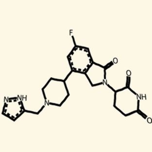 O=C1CCC(N2Cc3c(cc(F)cc3C3CCN(Cc4ccn[nH]4)CC3)C2=O)C(=O)N1